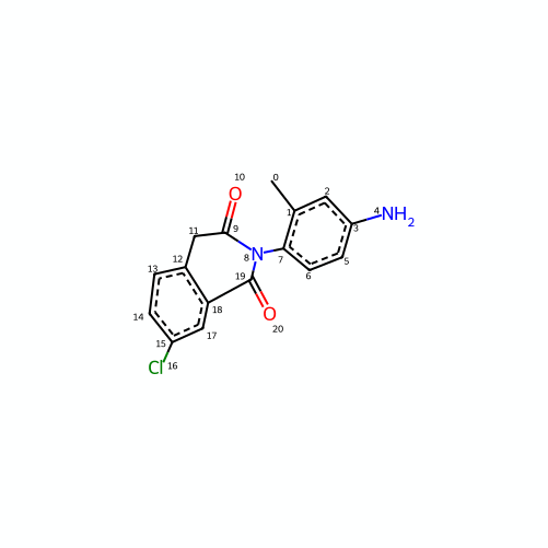 Cc1cc(N)ccc1N1C(=O)Cc2ccc(Cl)cc2C1=O